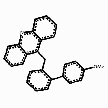 COc1ccc(-c2ccccc2Cc2c3ccccc3nc3ccccc23)cc1